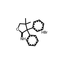 Br.CC1(C)COC(=N)C1(c1ccccc1)c1ccccc1